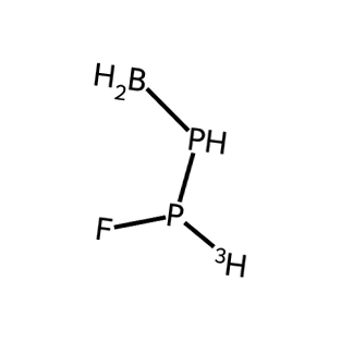 [3H]P(F)PB